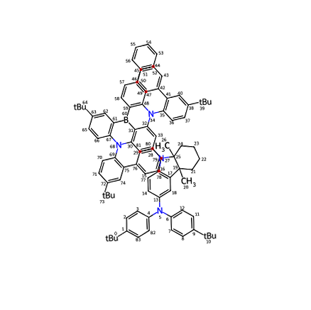 CC(C)(C)c1ccc(N(c2ccc(C(C)(C)C)cc2)c2ccc3c(c2)C2(C)CCCCC2(C)N3c2cc3c4c(c2)N(c2ccc(C(C)(C)C)cc2-c2ccccc2)c2cc(-c5ccccc5)ccc2B4c2cc(C(C)(C)C)ccc2N3c2ccc(C(C)(C)C)cc2-c2ccccc2)cc1